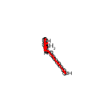 CCON(CCCNC(=O)OC(C)(C)C)C(=O)C1=Cc2ccc(-c3cccc(S(=O)(=O)N4CC(CNC(=O)CCOCCOCCOCCOCCOCCOCCOCCOCCOCCOCCC(=O)O)C4)c3)cc2N=C(N)C1